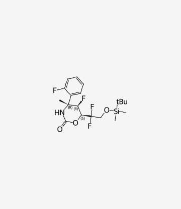 CC(C)(C)[Si](C)(C)OCC(F)(F)[C@H]1OC(=O)N[C@](C)(c2ccccc2F)[C@H]1F